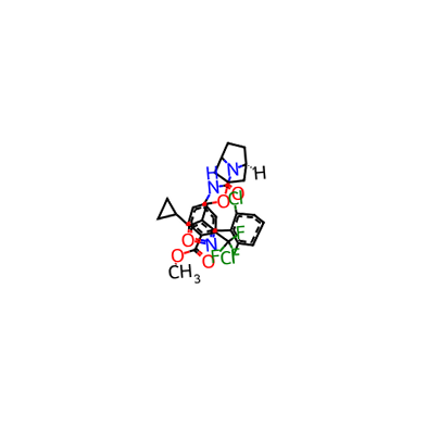 COC(=O)c1ccc(NC(=O)N2C3CC[C@H]2CC(OCc2c(-c4c(Cl)cccc4Cl)noc2C2CC2)C3)cc1C(F)(F)F